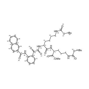 COC(=O)C(CCCNC(=O)OC(C)(C)C)NC(=O)C(CCCCNC(=O)OC(C)(C)C)NC(=O)C(=O)c1ccccc1NC(=O)c1ccc2ccccc2c1